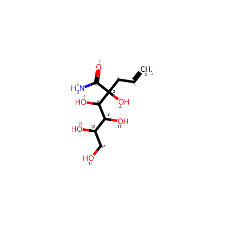 C=CCC(O)(C(N)=O)C(O)C(O)C(O)CO